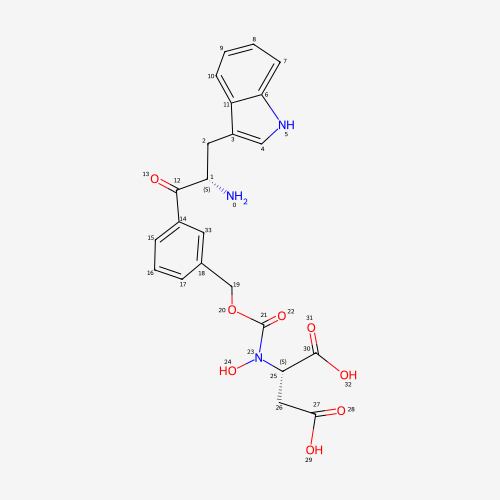 N[C@@H](Cc1c[nH]c2ccccc12)C(=O)c1cccc(COC(=O)N(O)[C@@H](CC(=O)O)C(=O)O)c1